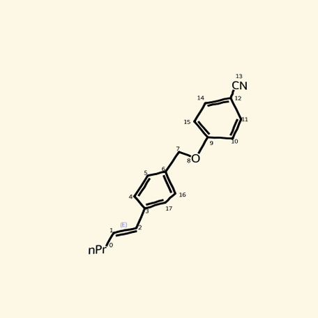 CCC/C=C/c1ccc(COc2ccc(C#N)cc2)cc1